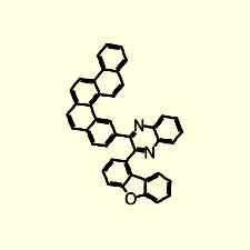 c1ccc2c(c1)ccc1c2ccc2ccc3ccc(-c4nc5ccccc5nc4-c4cccc5oc6ccccc6c45)cc3c21